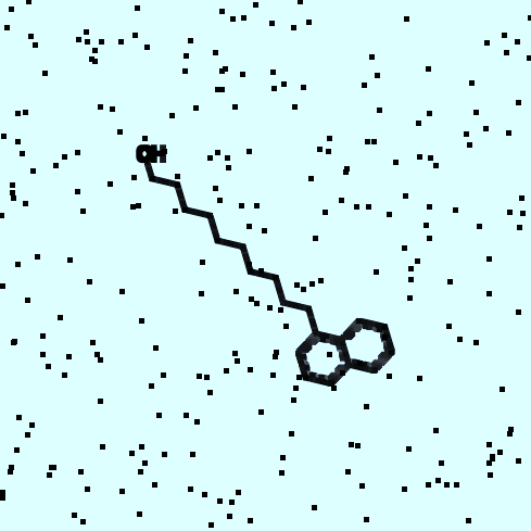 OCCCCCCCCCCc1cccc2ccccc12